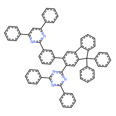 c1ccc(-c2cc(-c3ccccc3)nc(-c3cccc(-c4cc5c(cc4-c4nc(-c6ccccc6)nc(-c6ccccc6)n4)C(c4ccccc4)(c4ccccc4)c4ccccc4-5)c3)n2)cc1